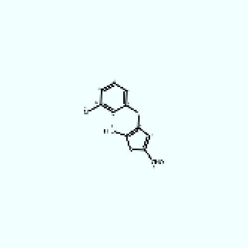 Cc1sc(C=O)cc1Sc1cccc(Cl)c1